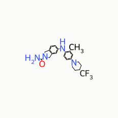 Cc1cc(N2CCC(C(F)(F)F)CC2)ccc1Nc1ccc2c(c1)CN(C(N)=O)C2